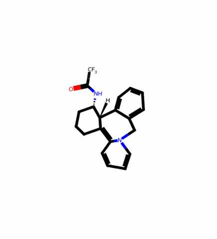 O=C(N[C@H]1CCCC2=C3C=CC=CN3Cc3ccccc3[C@H]21)C(F)(F)F